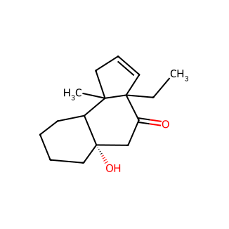 CCC12C=CCC1(C)C1CCCC[C@]1(O)CC2=O